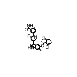 Cc1cc2[nH]nc(-c3cnc(-c4cccc(C(N)=O)c4)c(F)c3)c2cc1O[C@H](C)c1c(Cl)cncc1Cl